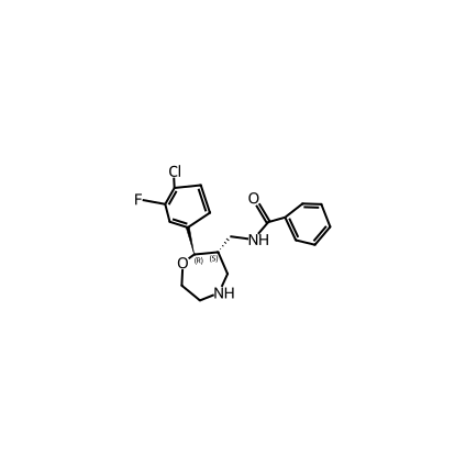 O=C(NC[C@@H]1CNCCO[C@H]1c1ccc(Cl)c(F)c1)c1ccccc1